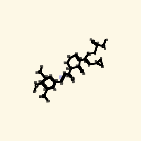 COC(=O)CSC(=CC1CC1)C1=CCCN(C(=O)/C=C/c2cc(OC)c(OC)c(OC)c2)C1=O